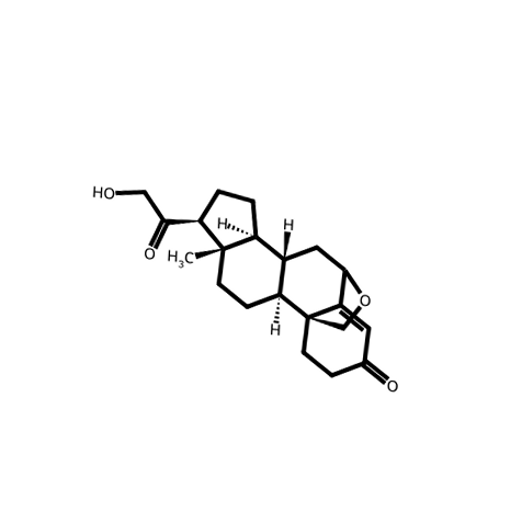 C[C@]12CC[C@H]3[C@@H](CC4OC[C@@]35CCC(=O)C=C45)[C@@H]1CC[C@@H]2C(=O)CO